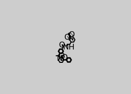 CC(c1ccc(C(=O)NCCC2CCCN(S(C)(=O)=O)C2)cc1)N1CCCC(c2ccccc2)S1(=O)=O